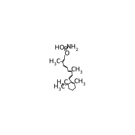 CC(C=CC1=C(C)CCCC1(C)C)=CC=CC(C)=CCOP(N)O